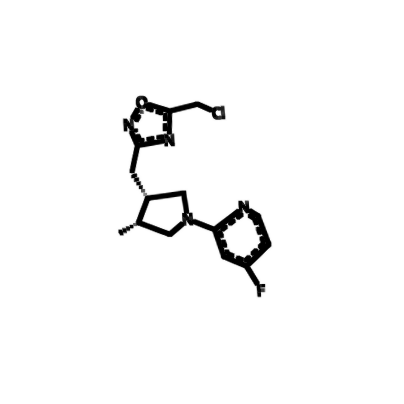 C[C@H]1CN(c2cc(F)ccn2)C[C@H]1Cc1noc(CCl)n1